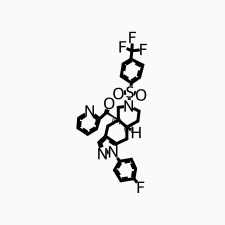 O=C(c1ccccn1)[C@]12Cc3cnn(-c4ccc(F)cc4)c3C[C@H]1CCN(S(=O)(=O)c1ccc(C(F)(F)F)cc1)C2